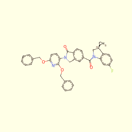 C[C@@H]1CN(C(=O)c2ccc3c(c2)CN(c2ccc(OCc4ccccc4)nc2OCc2ccccc2)C3=O)c2cc(F)ccc21